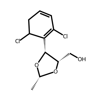 C[C@H]1O[C@@H](CO)[C@@H](C2=C(Cl)C=CCC2Cl)O1